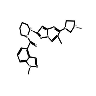 Cc1cn2nc([C@@H]3CCCCN3C(=O)c3cccc4c3cnn4C)cc2nc1N1CC[C@H](C)C1